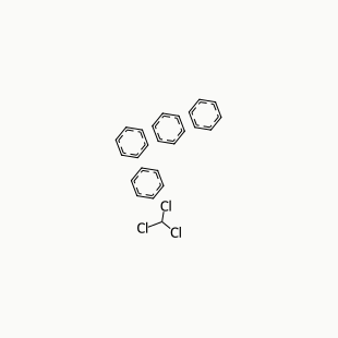 ClC(Cl)Cl.c1ccccc1.c1ccccc1.c1ccccc1.c1ccccc1